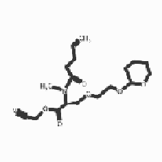 C=CCCC(=O)N(C)[C@@H](COCCOC1CCCCO1)C(=O)OCC#N